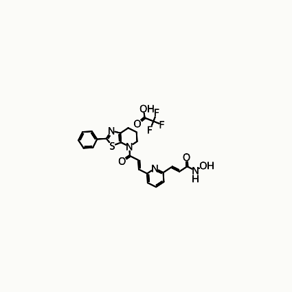 O=C(C=Cc1cccc(C=CC(=O)N2CCCc3nc(-c4ccccc4)sc32)n1)NO.O=C(O)C(F)(F)F